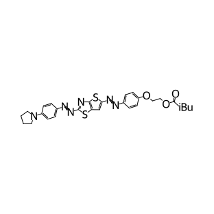 CCC(C)C(=O)OCCOc1ccc(N=Nc2cc3sc(N=Nc4ccc(N5CCCC5)cc4)nc3s2)cc1